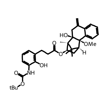 C=C1C[C@]2(O)[C@](OC)(c3ccccc31)[C@H]1C[C@@H](OC(=O)CCc3cccc(NC(=O)OC(C)(C)C)c3O)[C@]2(C)C1(C)C